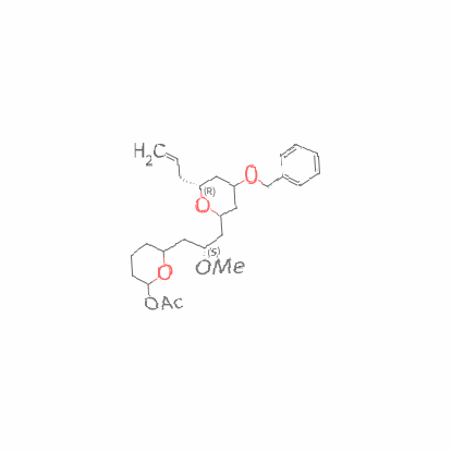 C=CC[C@@H]1CC(OCc2ccccc2)CC(C[C@@H](CC2CCCC(OC(C)=O)O2)OC)O1